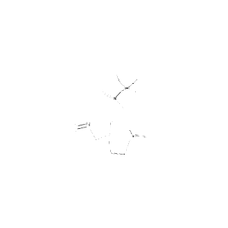 CC(C)(C)C(=O)OCC1(CN=O)CCC(=O)O1